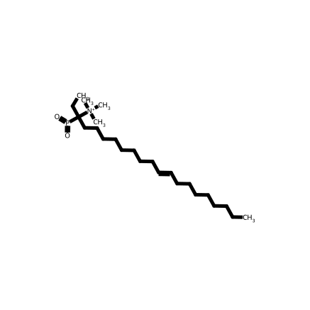 CCCCCCCCC=CCCCCCCCCC(CC)(P(=O)=O)[N+](C)(C)C